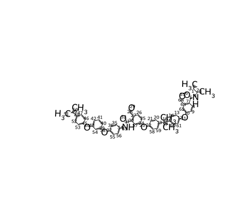 CCC(C)NC(=O)c1ccc(Oc2ccc(C(C)(C)c3ccc(Oc4ccc(C=O)c(C(=O)Nc5ccc(Oc6cccc(Oc7ccc(C(C)C)cc7)c6)cc5)c4)cc3)cc2)cc1C=O